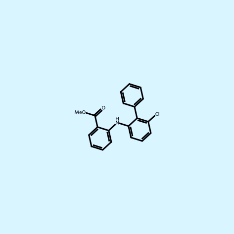 COC(=O)c1ccccc1Nc1cccc(Cl)c1-c1ccccc1